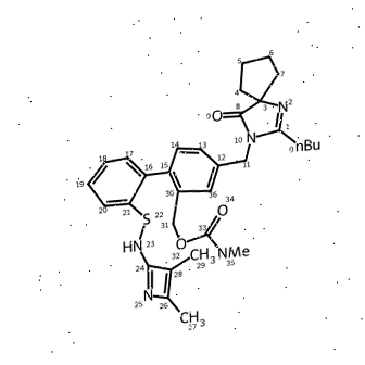 CCCCC1=NC2(CCCC2)C(=O)N1Cc1ccc(-c2ccccc2SNC2=NC(C)=C2C)c(COC(=O)NC)c1